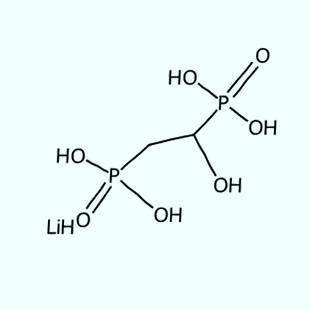 O=P(O)(O)CC(O)P(=O)(O)O.[LiH]